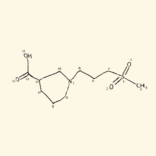 CS(=O)(=O)CCCN1CCCC(C(=O)O)C1